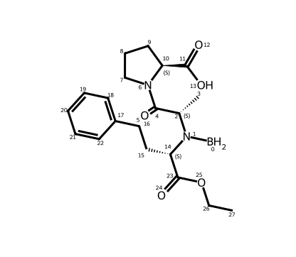 BN([C@@H](C)C(=O)N1CCC[C@H]1C(=O)O)[C@@H](CCc1ccccc1)C(=O)OCC